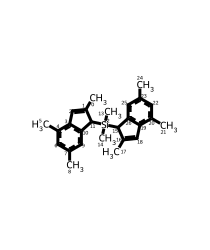 CC1=Cc2c(C)cc(C)cc2C1[Si](C)(C)C1C(C)=Cc2c(C)cc(C)cc21